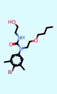 CCCCOCCN(C(=O)NCCO)c1cc(C)c(Br)c(C)c1